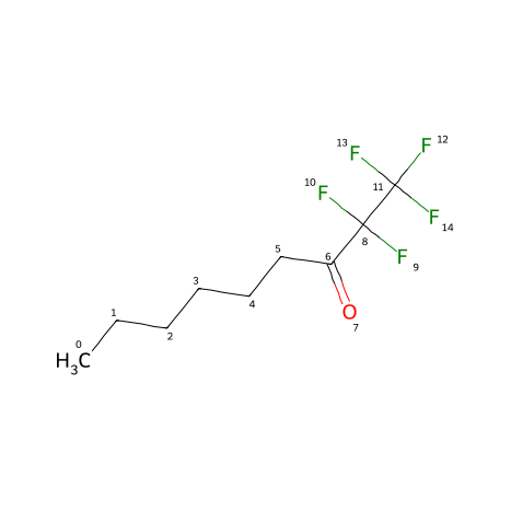 CCCCCCC(=O)C(F)(F)C(F)(F)F